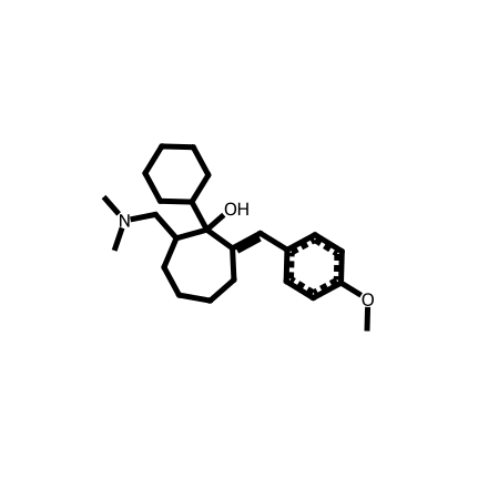 COc1ccc(C=C2CCCCC(CN(C)C)C2(O)C2CCCCC2)cc1